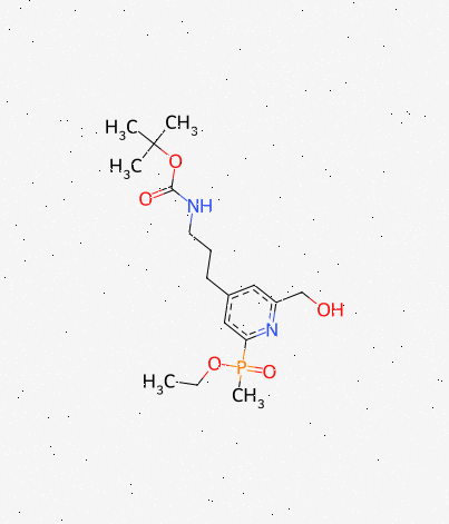 CCOP(C)(=O)c1cc(CCCNC(=O)OC(C)(C)C)cc(CO)n1